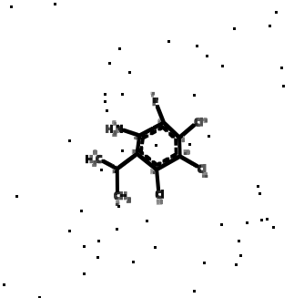 CC(C)c1c(N)c(F)c(Cl)c(Cl)c1Cl